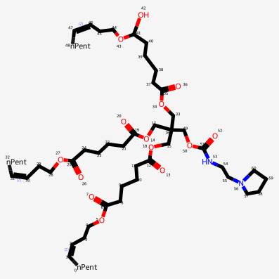 CCCCC/C=C\CCOC(=O)CCCCC(=O)OCC(COC(=O)CCCCC(=O)OCC/C=C\CCCCC)(COC(=O)CCCCC(O)OCC/C=C\CCCCC)COC(=O)NCCN1CCCC1